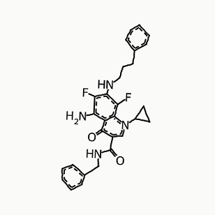 Nc1c(F)c(NCCCc2ccccc2)c(F)c2c1c(=O)c(C(=O)NCc1ccccc1)cn2C1CC1